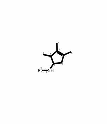 CCNC1CC(C)=C(C)C1C